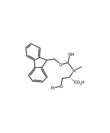 CCOC[C@@H](C(=O)O)N(C)C(O)OCC1c2ccccc2-c2ccccc21